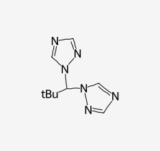 CC(C)(C)C(n1cncn1)n1cncn1